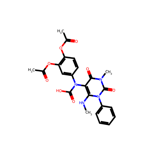 CNc1c(N(C(=O)O)c2ccc(OC(C)=O)c(OC(C)=O)c2)c(=O)n(C)c(=O)n1-c1ccccc1